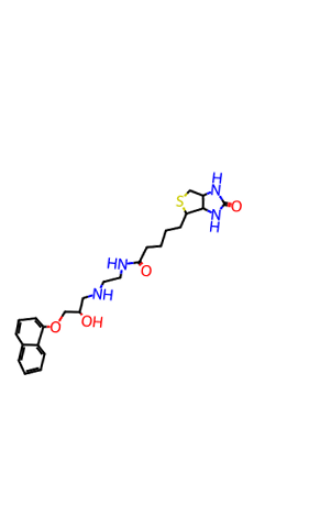 O=C(CCCCC1SCC2NC(=O)NC21)NCCNCC(O)COc1cccc2ccccc12